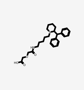 O=C(O)COCC(=O)NCCCCCN1CCCCC1C(c1ccccc1)c1ccccc1